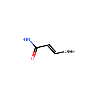 COC=CC([NH])=O